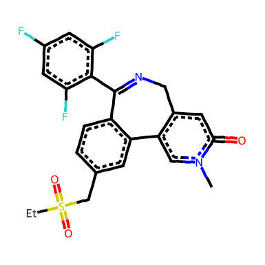 CCS(=O)(=O)Cc1ccc2c(c1)-c1cn(C)c(=O)cc1CN=C2c1c(F)cc(F)cc1F